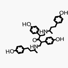 CC(CCc1ccc(O)cc1)NCC(C(=O)C(CNC(C)CCc1ccc(O)cc1)c1ccc(O)cc1)c1ccc(O)cc1